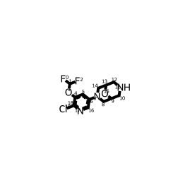 FC(F)Oc1cc(N2CC3CNCC(C2)O3)cnc1Cl